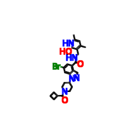 CC1=CC(C)=C(CNC(=O)c2cc(Br)cc3c2cnn3C2CCN(C(=O)C3CCC3)CC2)C(O)N1